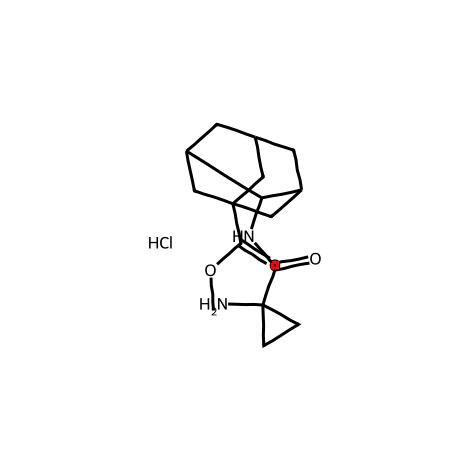 COC(=O)C12CC3CC(C1)C(NC(=O)C1(N)CC1)C(C3)C2.Cl